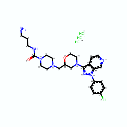 Cl.Cl.Cl.NCCCNC(=O)N1CCN(CC2CN(c3nn(-c4ccc(Cl)cc4)c4cnccc34)CCO2)CC1